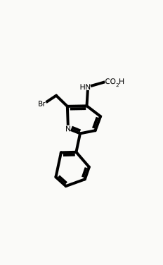 O=C(O)Nc1ccc(-c2ccccc2)nc1CBr